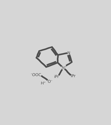 CC(C)[N+]1(C(C)C)C=Nc2ccccc21.O=C([O-])[O-].[H+]